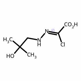 CC(C)(O)CN/N=C(\Cl)C(=O)O